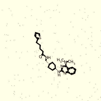 CN(C)c1nc(N[C@H]2CC[C@@H](CNC(=O)CCCCc3cccs3)CC2)nc2ccccc12